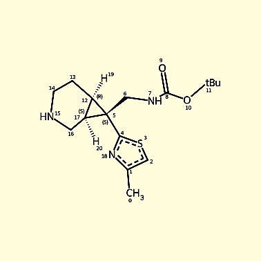 Cc1csc([C@@]2(CNC(=O)OC(C)(C)C)[C@@H]3CCNC[C@@H]32)n1